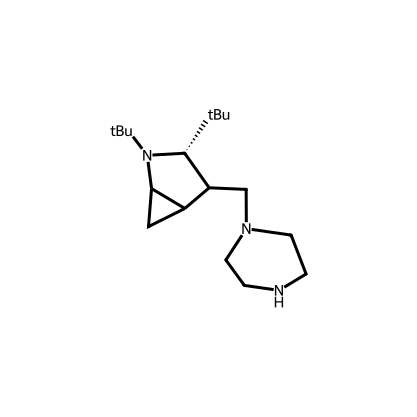 CC(C)(C)[C@@H]1C(CN2CCNCC2)C2CC2N1C(C)(C)C